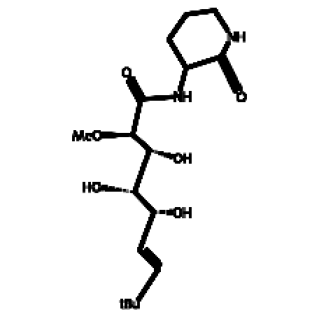 CO[C@@H](C(=O)NC1CCCNC1=O)[C@H](O)[C@@H](O)[C@H](O)C=CC(C)(C)C